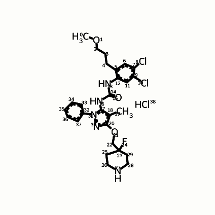 COCCCc1cc(Cl)c(Cl)cc1NC(=O)Nc1c(C)c(OCC2(F)CCNCC2)nn1-c1ccccc1.Cl